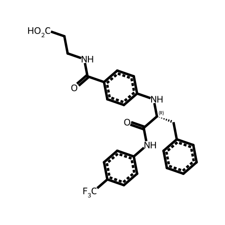 O=C(O)CCNC(=O)c1ccc(N[C@H](Cc2ccccc2)C(=O)Nc2ccc(C(F)(F)F)cc2)cc1